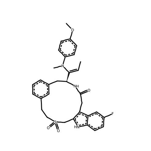 CC=C([C@@H]1Cc2cccc(c2)CCS(=O)(=O)Cc2[nH]c3ccc(F)cc3c2CC(=O)N1)N(C)c1ccc(OC)cc1